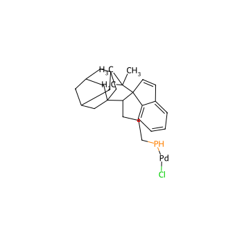 CC(C)(C)C1(C(CCC[PH][Pd][Cl])C23CC4CC(CC(C4)C2)C3)C=Cc2ccccc21